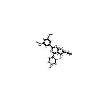 COc1cc(OC)cc(-c2nc(N3CCN(C)CC3)c3c(C)c(C#N)sc3n2)c1